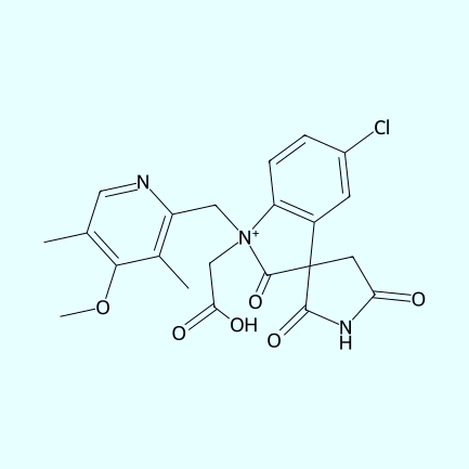 COc1c(C)cnc(C[N+]2(CC(=O)O)C(=O)C3(CC(=O)NC3=O)c3cc(Cl)ccc32)c1C